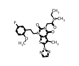 CCN(C)C(=O)Cn1c(=O)c2c(C)c(-n3nccn3)sc2n(CCc2cc(F)ccc2OC)c1=O